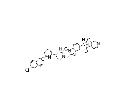 Cc1cnccc1C(=O)Nc1ccc2c(c1)nc(CN1CCC(c3cccc(OCc4ccc(Cl)cc4F)n3)CC1)n2C